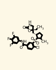 CC[C@]1(C[C@@H]2CCC(C)C2S(=O)(=O)c2cc(C(=O)Nc3cc(F)c(F)c(F)c3)ccc2Cl)CNC(=O)O1